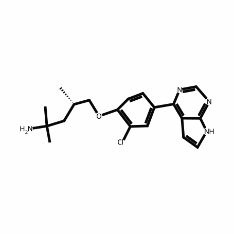 C[C@H](COc1ccc(-c2ncnc3[nH]ccc23)cc1Cl)CC(C)(C)N